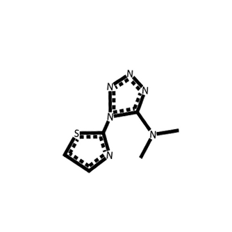 CN(C)c1nnnn1-c1nccs1